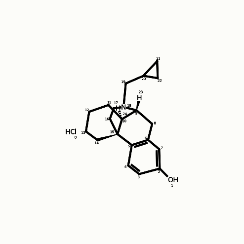 Cl.Oc1ccc2c(c1)C[C@@H]1[C@@H]3CCCC[C@]23CCN1CC1CC1